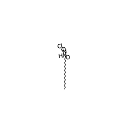 CCCCCCCCCCCCCCCCCC(=O)NCN1C=CC(Cl)=CC1